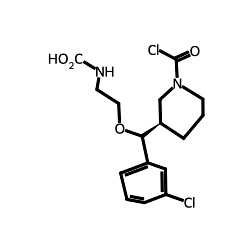 O=C(O)NCCOC(c1cccc(Cl)c1)[C@@H]1CCCN(C(=O)Cl)C1